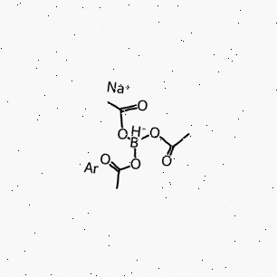 CC(=O)O[BH-](OC(C)=O)OC(C)=O.[Ar].[Na+]